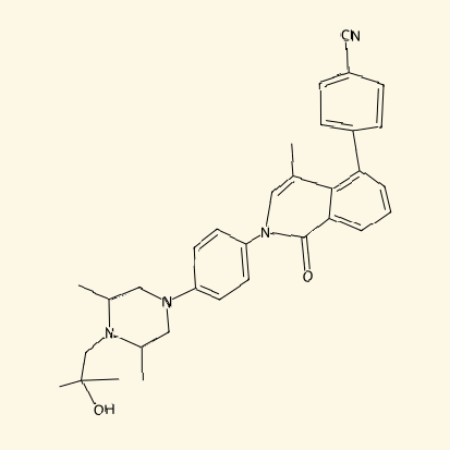 Cc1cn(-c2ccc(N3CC(C)N(CC(C)(C)O)C(C)C3)cc2)c(=O)c2cccc(-c3ccc(C#N)cc3)c12